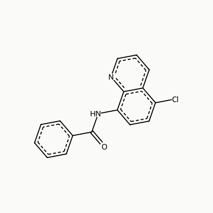 O=C(Nc1ccc(Cl)c2cccnc12)c1ccccc1